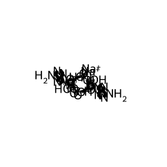 Nc1ncnc2c1ncn2[C@@H]1O[C@@H]2COP(=O)([O-])O[C@H]3[C@@H](O)[C@H](n4cnc5c(N)ncnc54)O[C@@H]3COP(=O)([O-])O[C@H]2[C@H]1O.[Na+].[Na+]